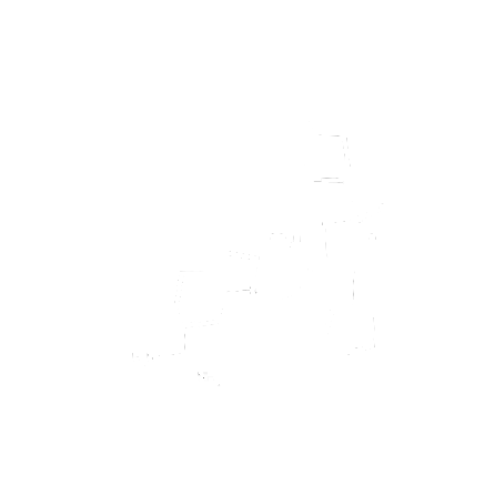 Cc1ccc(S(=O)(=O)Oc2cc(Cn3c(C(=O)O)cc4ccc(C(N)N)cc43)c3ccccc3c2)cc1